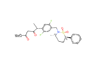 COC(=O)CC(=O)C(C)c1cc(F)c(CN2[C@@H](C)CC[C@H](c3ccccc3)S2(=O)=O)cc1F